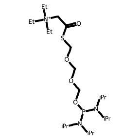 CC[N+](CC)(CC)CC(=O)SCOCOCOP(N(C(C)C)C(C)C)N(C(C)C)C(C)C